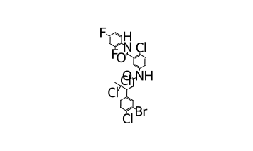 CC(Cl)(Cl)[C@@H](CC(=O)Nc1ccc(Cl)c(C(=O)Nc2ccc(F)cc2F)c1)c1ccc(Cl)c(Br)c1